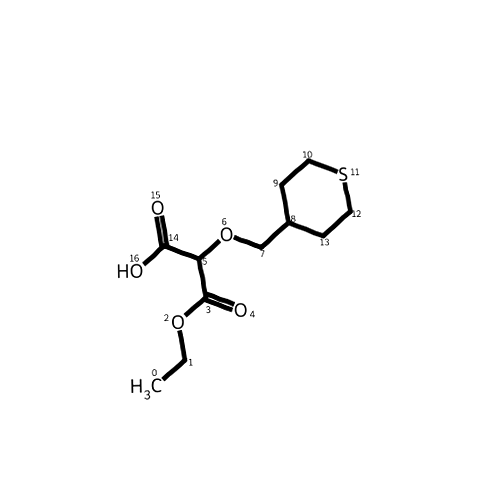 CCOC(=O)C(OCC1CCSCC1)C(=O)O